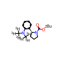 [2H]C([2H])([2H])N(c1ccccc1[C@@H]1CCCN1C(=O)OC(C)(C)C)C([2H])([2H])[2H]